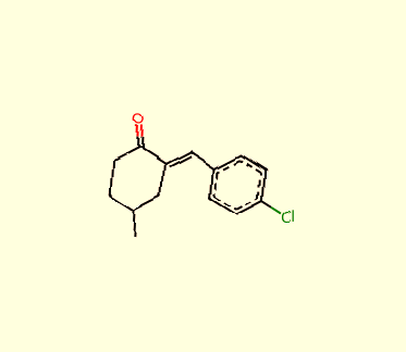 CC1CCC(=O)C(=Cc2ccc(Cl)cc2)C1